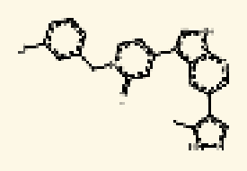 Cc1[nH]ncc1-c1cnc2[nH]cc(-c3ccn(Cc4cccc(Cl)c4)c(=O)c3)c2c1